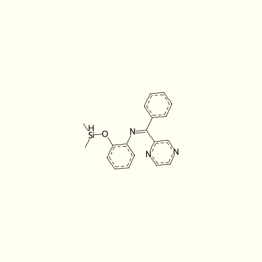 C[SiH](C)Oc1ccccc1N=C(c1ccccc1)c1cnccn1